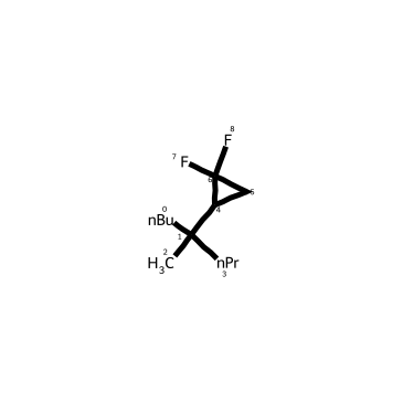 CCCCC(C)(CCC)C1CC1(F)F